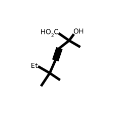 CCC(C)(C)C#CC(C)(O)C(=O)O